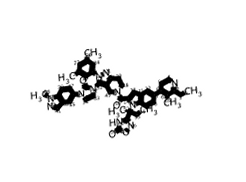 CCc1nccc(-c2ccc3c(c2)cc(C(=O)N2CCc4nn(-c5cc(C)cc(C)c5)c(-n5ccn(-c6ccc7c(cnn7C)c6)c5=O)c4C2)n3[C@](C)(CC)c2noc(=O)[nH]2)c1C